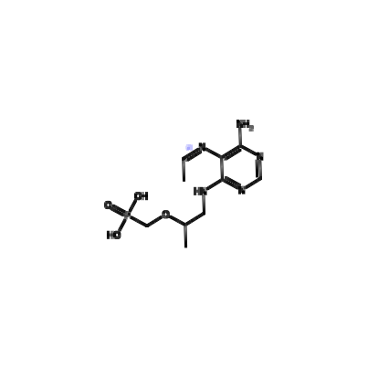 C/C=N\c1c(N)ncnc1NCC(C)OCP(=O)(O)O